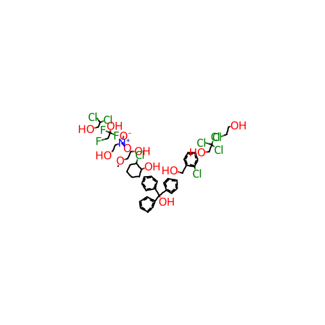 COCCO.O=[N+]([O-])CCO.OC(F)(F)CF.OC(c1ccccc1)(c1ccccc1)c1ccccc1.OC1CCCCC1Cl.OCC(Cl)(Cl)Cl.OCC(Cl)Cl.OCCCl.OCc1ccccc1Cl